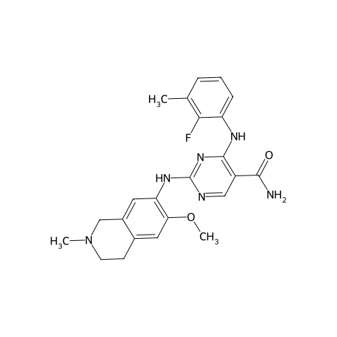 COc1cc2c(cc1Nc1ncc(C(N)=O)c(Nc3cccc(C)c3F)n1)CN(C)CC2